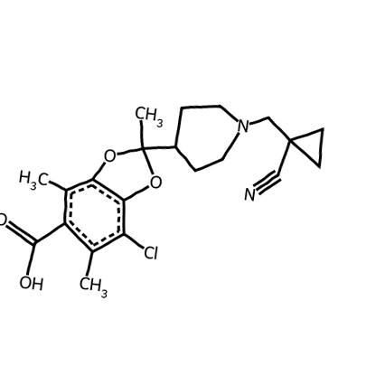 Cc1c(Cl)c2c(c(C)c1C(=O)O)OC(C)(C1CCN(CC3(C#N)CC3)CC1)O2